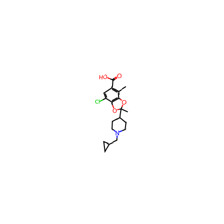 Cc1c(C(=O)O)cc(Cl)c2c1OC(C)(C1CCN(CC3CC3)CC1)O2